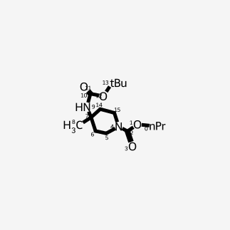 CCCOC(=O)N1CCC(C)(NC(=O)OC(C)(C)C)CC1